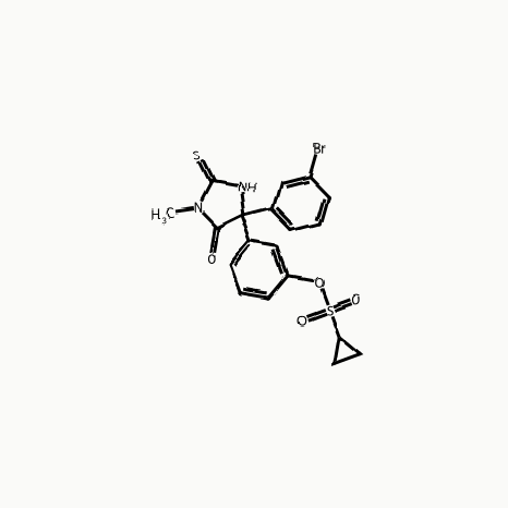 CN1C(=O)C(c2cccc(Br)c2)(c2cccc(OS(=O)(=O)C3CC3)c2)NC1=S